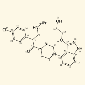 CC(C)NCC(C(=O)N1CCN(c2ccnc3[nH]nc(OCCO)c23)CC1)c1ccc(Cl)cc1